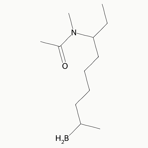 BC(C)CCCCC(CC)N(C)C(C)=O